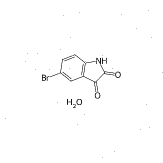 O.O=C1Nc2ccc(Br)cc2C1=O